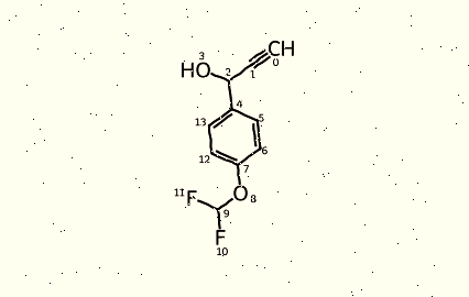 C#CC(O)c1ccc(OC(F)F)cc1